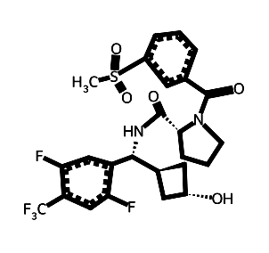 CS(=O)(=O)c1cccc(C(=O)N2CCC[C@@H]2C(=O)N[C@@H](c2cc(F)c(C(F)(F)F)cc2F)[C@H]2C[C@H](O)C2)c1